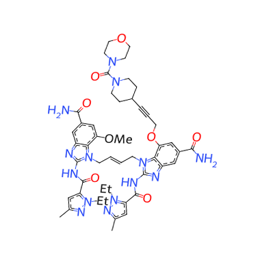 CCn1nc(C)cc1C(=O)Nc1nc2cc(C(N)=O)cc(OC)c2n1C/C=C/Cn1c(NC(=O)c2cc(C)nn2CC)nc2cc(C(N)=O)cc(OCC#CC3CCN(C(=O)N4CCOCC4)CC3)c21